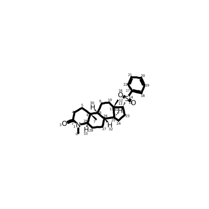 CN1C(=O)CC[C@]2(C)[C@H]3CC[C@]4(C)[C@H](S(=O)(=O)c5ccccc5)CC[C@H]4[C@@H]3CC[C@@H]12